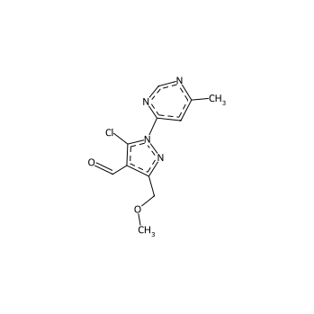 COCc1nn(-c2cc(C)ncn2)c(Cl)c1C=O